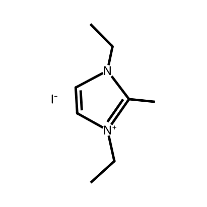 CCn1cc[n+](CC)c1C.[I-]